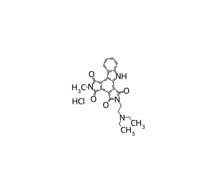 CCN(CC)CCn1c(=O)c2c3[nH]c4ccccc4c3c3c(=O)n(C)c(=O)c3c2c1=O.Cl